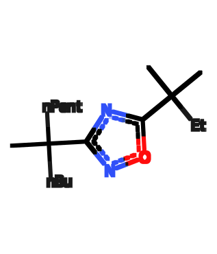 CCCCCC(C)(CCCC)c1noc(C(C)(C)CC)n1